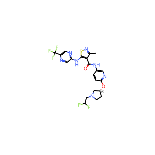 Cc1nsc(Nc2cnc(C(F)(F)F)cn2)c1C(=O)Nc1ccc(O[C@@H]2CCN(CC(F)F)C2)nc1